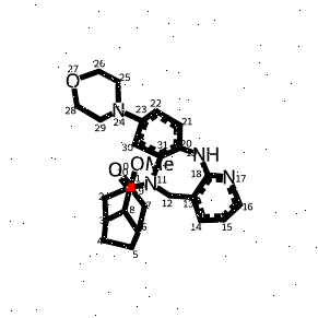 COC1CC2CCC(C1)C2C(=O)N1Cc2cccnc2Nc2ccc(N3CCOCC3)cc21